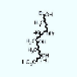 CCCC(C/C=C/C(C)=C/CC(O)CC)CCC(O)CCC(C)C(O)C/C=C(C)/C=C/C(O)C(C)/C=C/C(=O)O